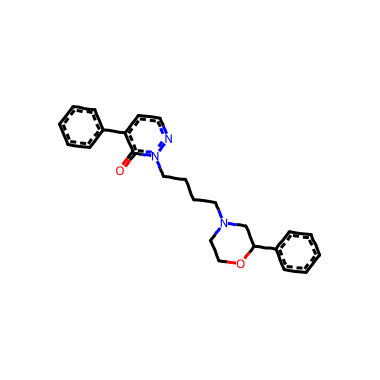 O=c1c(-c2ccccc2)ccnn1CCCCN1CCOC(c2ccccc2)C1